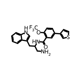 NCC(Cc1c[nH]c2ccccc12)NC(=O)c1cc(-c2ccsc2)ccc1OC(F)(F)F